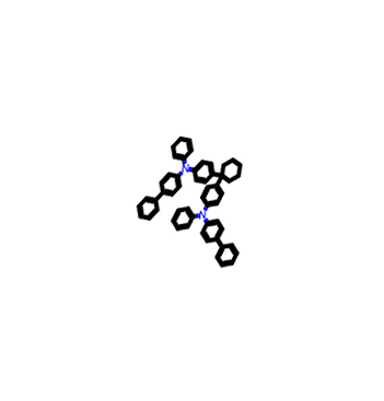 C1=CC(N(c2ccc(-c3ccccc3)cc2)c2ccc(C3(c4ccc(N(c5ccccc5)c5ccc(-c6ccccc6)cc5)cc4)CCCCC3)cc2)=CCC1